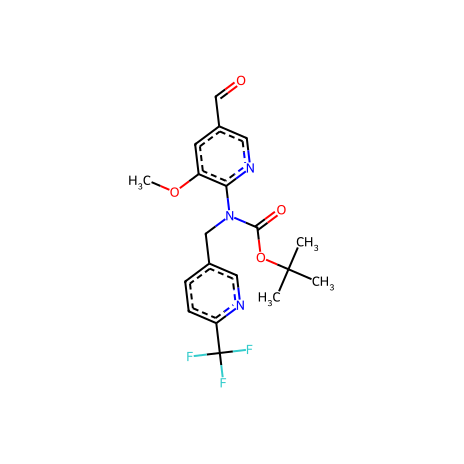 COc1cc(C=O)cnc1N(Cc1ccc(C(F)(F)F)nc1)C(=O)OC(C)(C)C